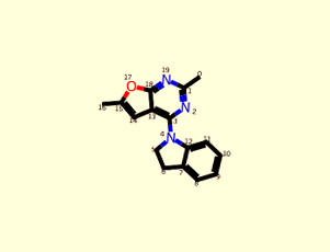 Cc1nc(N2CCc3ccccc32)c2cc(C)oc2n1